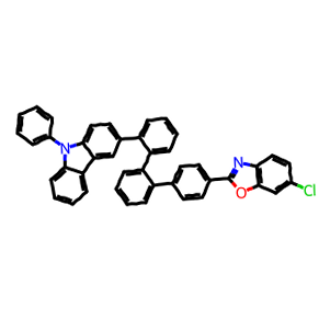 Clc1ccc2nc(-c3ccc(-c4ccccc4-c4ccccc4-c4ccc5c(c4)c4ccccc4n5-c4ccccc4)cc3)oc2c1